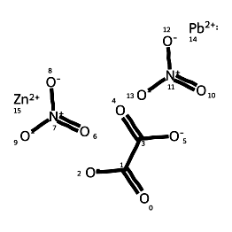 O=C([O-])C(=O)[O-].O=[N+]([O-])[O-].O=[N+]([O-])[O-].[Pb+2].[Zn+2]